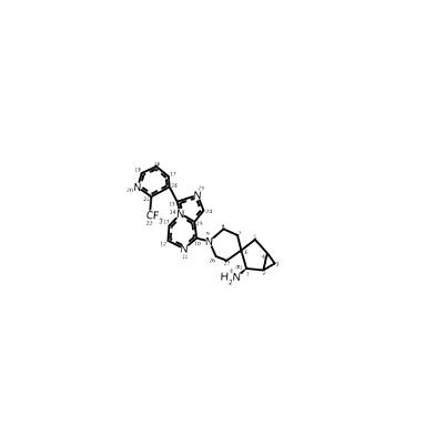 N[C@@H]1C2CC2CC12CCN(c1nccn3c(-c4cccnc4C(F)(F)F)ncc13)CC2